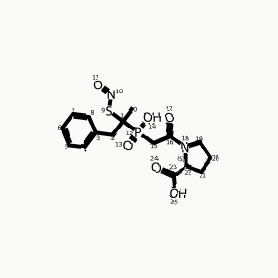 CC(Cc1ccccc1)(SN=O)P(=O)(O)CC(=O)N1CCC[C@H]1C(=O)O